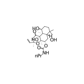 C=C[C@@]1(C)CC(=O)[C@@]2(O)[C@@]3(C)[C@@H](O)CCC(C)(C)[C@@H]3[C@H](O)[C@H](OC(=O)NCCC)[C@@]2(C)O1